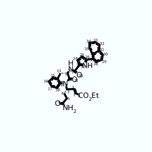 CCOC(=O)/C=C/[C@H](CCC(N)=O)NC(=O)[C@H](Cc1ccccc1)NC(=O)c1ccc(-c2cccc3ccccc23)[nH]1